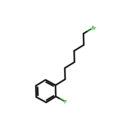 Fc1ccccc1CCCCCCBr